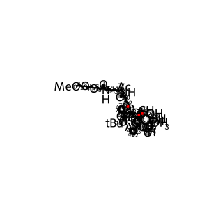 COCCOCCOCCC(=O)NCCCCC(NC(=O)CCCC(=O)O[C@@H](C(=O)O[C@H]1C[C@@]2(O)[C@@H](OC(=O)c3ccccc3)[C@@H]3[C@]4(OC(C)=O)CO[C@@H]4C[C@H](O)[C@@]3(C)[C@H](O)[C@H](O)[C@H](C1C)C2(C)C)[C@@H](NC(=O)OC(C)(C)C)c1ccccc1)C(C)=O